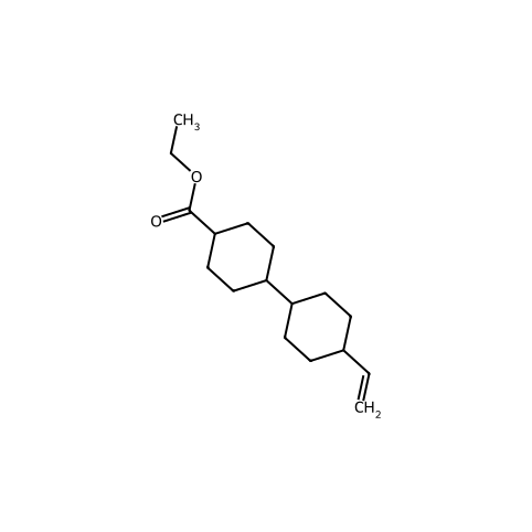 C=CC1CCC(C2CCC(C(=O)OCC)CC2)CC1